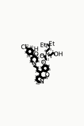 CCN(CC)CCN(CCO)C(=O)COc1ccc2c(c1)C(=CCCN1CCC(O)(c3ccc(Cl)cc3)CC1)c1cccnc1CO2